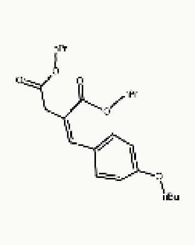 CCCCOc1ccc(C=C(CC(=O)OCCC)C(=O)OCCC)cc1